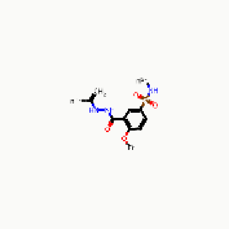 C=C(CCC)NNC(=O)c1cc(S(=O)(=O)NCCC)ccc1OCC